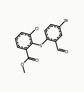 COC(=O)c1cccc(Cl)c1Sc1ccc(Br)cc1C=O